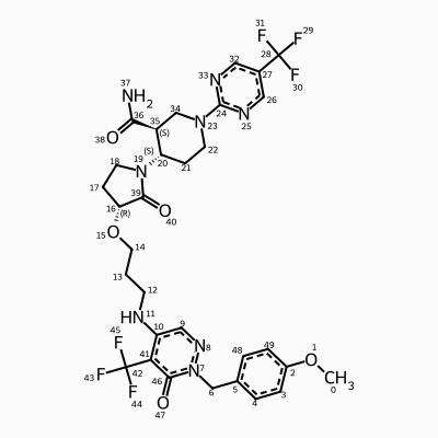 COc1ccc(Cn2ncc(NCCCO[C@@H]3CCN([C@H]4CCN(c5ncc(C(F)(F)F)cn5)C[C@@H]4C(N)=O)C3=O)c(C(F)(F)F)c2=O)cc1